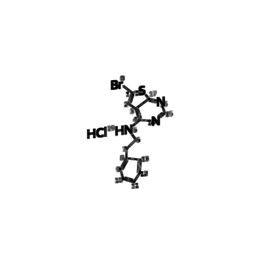 Brc1cc2c(NCCc3ccccc3)ncnc2s1.Cl